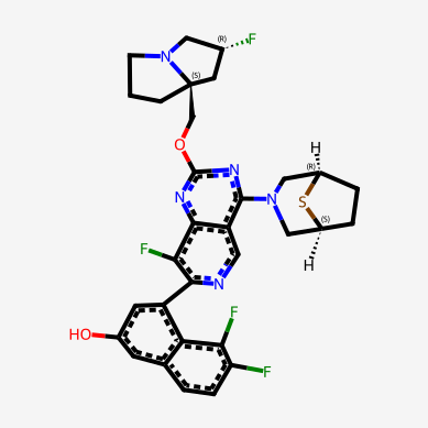 Oc1cc(-c2ncc3c(N4C[C@H]5CC[C@@H](C4)S5)nc(OC[C@@]45CCCN4C[C@H](F)C5)nc3c2F)c2c(F)c(F)ccc2c1